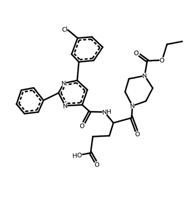 CCOC(=O)N1CCN(C(=O)C(CCC(=O)O)NC(=O)c2cc(-c3cccc(Cl)c3)nc(-c3ccccc3)n2)CC1